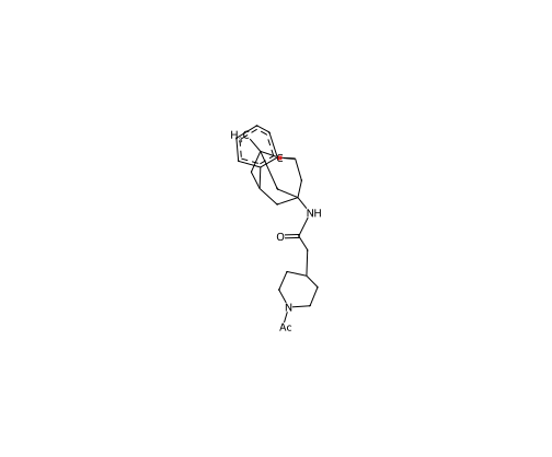 CC(=O)N1CCC(CC(=O)NC23CC4CC(C)(CC(C2)c2ccccc24)C3)CC1